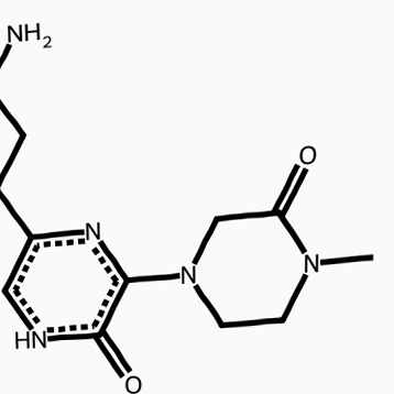 CN1CCN(c2nc(CCCN)c[nH]c2=O)CC1=O